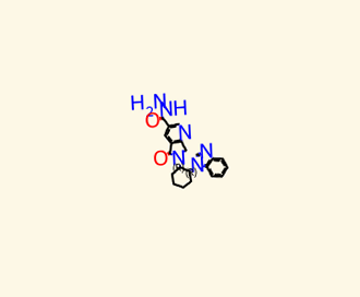 NNC(=O)c1cnc2c(c1)C(=O)N([C@@H]1CCCC[C@H]1n1cnc3ccccc31)C2